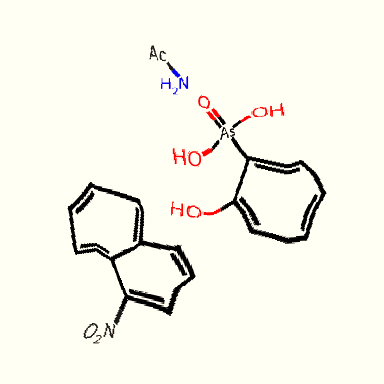 CC(N)=O.O=[As](O)(O)c1ccccc1O.O=[N+]([O-])c1cccc2ccccc12